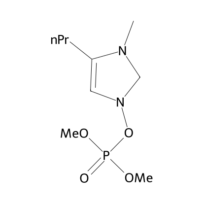 CCCC1=CN(OP(=O)(OC)OC)CN1C